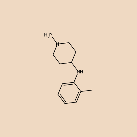 Cc1ccccc1NC1CCN(P)CC1